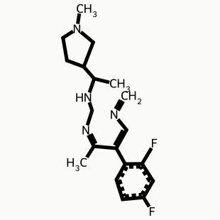 C=N/C=C(\C(C)=N/CNC(C)C1CCN(C)C1)c1ccc(F)cc1F